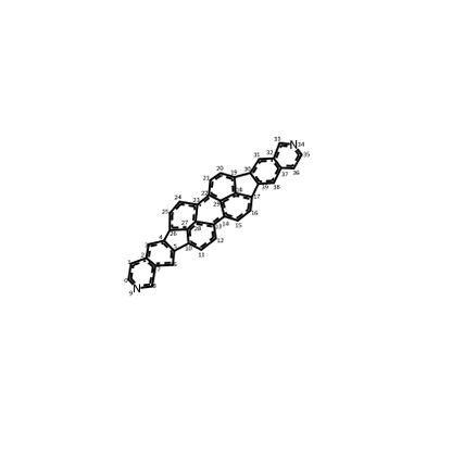 c1cc2cc3c(cc2cn1)-c1ccc2c4ccc5c6c(ccc(c7ccc-3c1c72)c64)-c1cc2cnccc2cc1-5